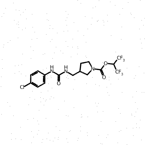 O=C(NCC1CCN(C(=O)OC(C(F)(F)F)C(F)(F)F)C1)Nc1ccc(Cl)cc1